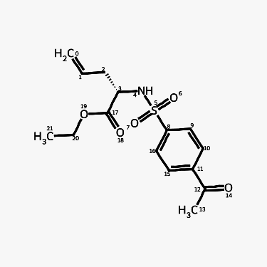 C=CC[C@H](NS(=O)(=O)c1ccc(C(C)=O)cc1)C(=O)OCC